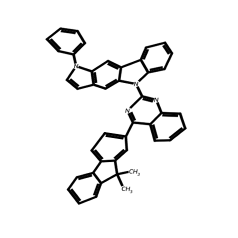 CC1(C)c2ccccc2-c2ccc(-c3nc(-n4c5ccccc5c5cc6c(ccn6-c6ccccc6)cc54)nc4ccccc34)cc21